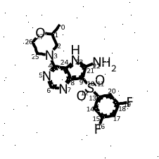 CC1CN(c2ncnc3c(S(=O)(=O)c4cc(F)cc(F)c4)c(N)[nH]c23)CCO1